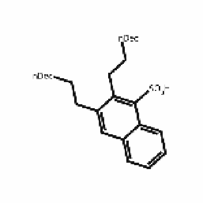 CCCCCCCCCCCCc1cc2ccccc2c(S(=O)(=O)O)c1CCCCCCCCCCCC